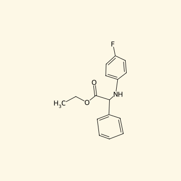 CCOC(=O)C(Nc1ccc(F)cc1)c1ccccc1